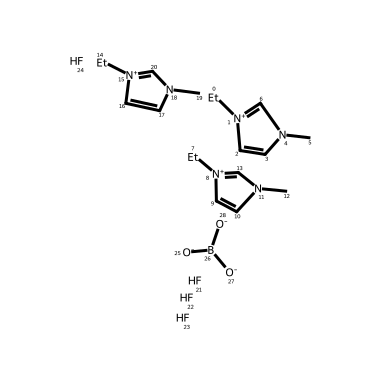 CC[n+]1ccn(C)c1.CC[n+]1ccn(C)c1.CC[n+]1ccn(C)c1.F.F.F.F.[O-]B([O-])[O-]